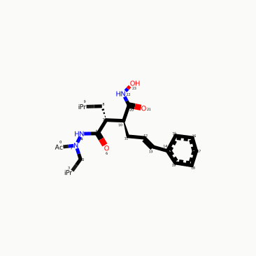 CC(=O)N(CC(C)C)NC(=O)[C@H](CC(C)C)[C@H](CC=Cc1ccccc1)C(=O)NO